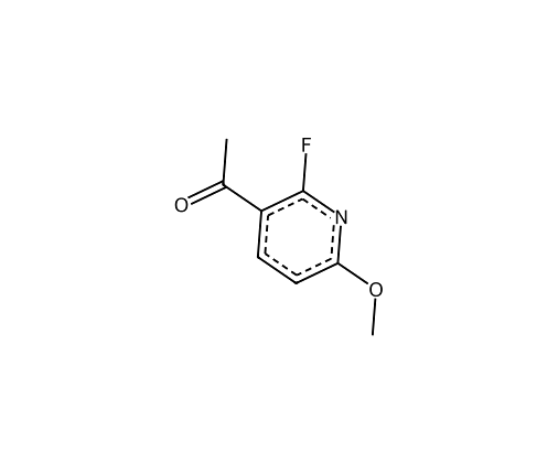 COc1ccc(C(C)=O)c(F)n1